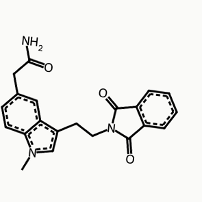 Cn1cc(CCN2C(=O)c3ccccc3C2=O)c2cc(CC(N)=O)ccc21